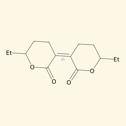 CCC1CC/C(=C2\CCC(CC)OC2=O)C(=O)O1